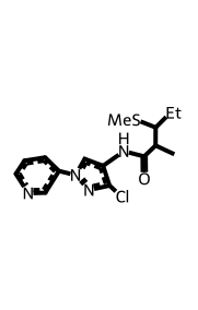 CCC(SC)C(C)C(=O)Nc1cn(-c2cccnc2)nc1Cl